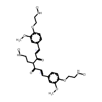 COc1cc(/C=C/C(=O)C(CCNCl)C(=O)/C=C/c2ccc(OCCNCl)c(OC)c2)ccc1OCCNCl